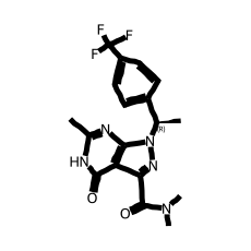 Cc1nc2c(c(C(=O)N(C)C)nn2[C@H](C)c2ccc(C(F)(F)F)cc2)c(=O)[nH]1